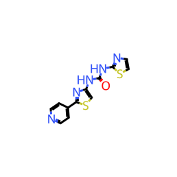 O=C(Nc1csc(-c2ccncc2)n1)Nc1nccs1